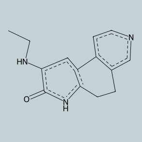 CCNc1cc2c([nH]c1=O)CCc1cnccc1-2